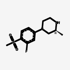 C[C@@H]1CN(c2ccc(S(C)(=O)=O)c(F)c2)CCN1